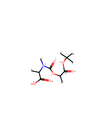 CC(OC(=O)N(C)C(C)C(=O)O)C(=O)OC(C)(C)C